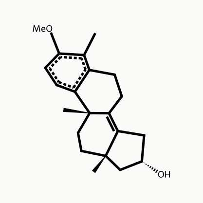 COc1ccc2c(c1C)CCC1=C3C[C@H](O)C[C@]3(C)CC[C@@]12C